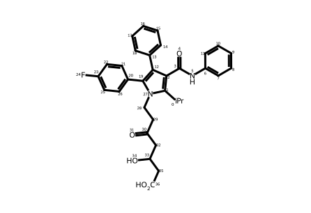 CC(C)c1c(C(=O)Nc2ccccc2)c(-c2ccccc2)c(-c2ccc(F)cc2)n1CCC(=O)CC(O)CC(=O)O